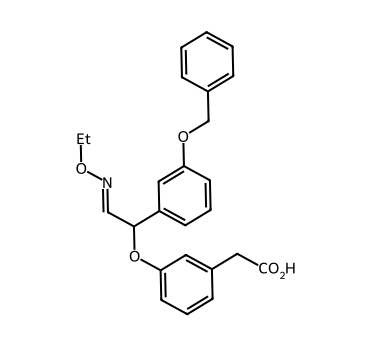 CCON=CC(Oc1cccc(CC(=O)O)c1)c1cccc(OCc2ccccc2)c1